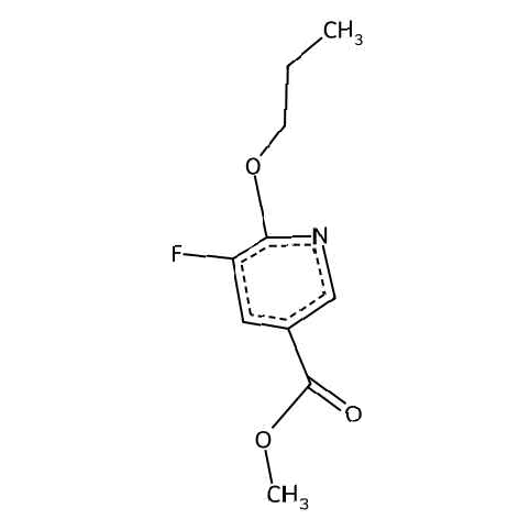 CCCOc1ncc(C(=O)OC)cc1F